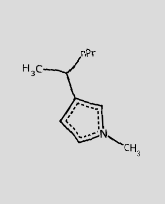 CCCC(C)c1ccn(C)c1